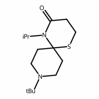 CC(C)N1C(=O)CCSC12CCN(C(C)(C)C)CC2